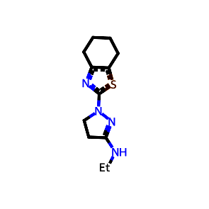 CCNC1=NN(c2nc3c(s2)CCCC3)CC1